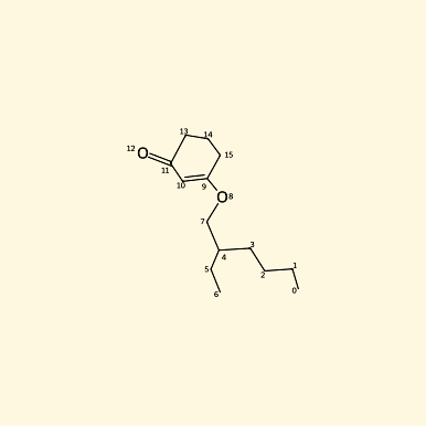 CCCCC(CC)COC1=CC(=O)CCC1